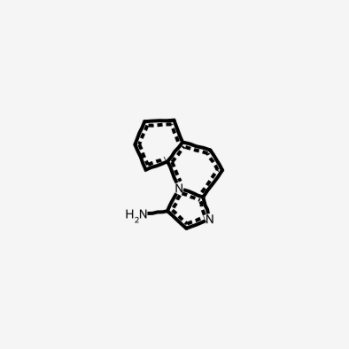 Nc1cnc2ccc3ccccc3n12